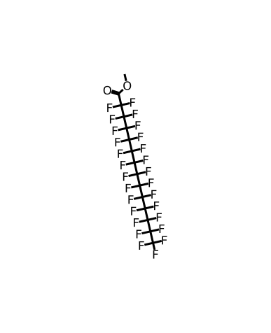 COC(=O)C(F)(F)C(F)(F)C(F)(F)C(F)(F)C(F)(F)C(F)(F)C(F)(F)C(F)(F)C(F)(F)C(F)(F)C(F)(F)C(F)(F)C(F)(F)F